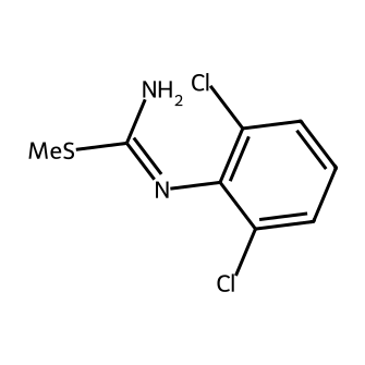 CSC(N)=Nc1c(Cl)cccc1Cl